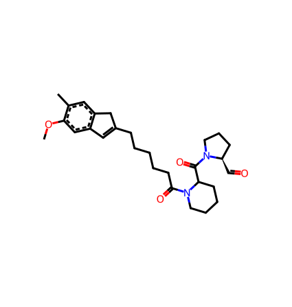 COc1cc2c(cc1C)CC(CCCCCC(=O)N1CCCCC1C(=O)N1CCC[C@H]1C=O)=C2